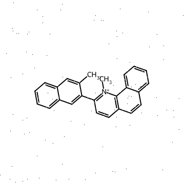 Cc1cc2ccccc2cc1-c1ccc2ccc3ccccc3c2[n+]1C